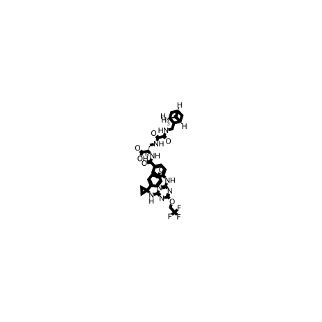 CC1(C)[C@H]2CCC(CNC(=O)C(=O)NC[C@H](NC(=O)c3ccc(Nc4nc(NC5(c6ccc(Cl)cc6)CC5)nc(OCC(F)(F)F)n4)cc3)C(=O)O)[C@@H]1C2